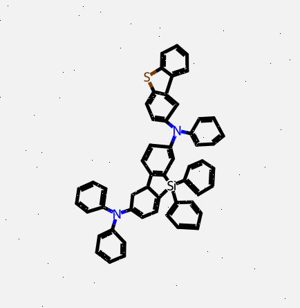 C1=C(N(c2ccccc2)c2ccccc2)CC2C(=C1)[Si](c1ccccc1)(c1ccccc1)c1cc(N(c3ccccc3)c3ccc4sc5ccccc5c4c3)ccc12